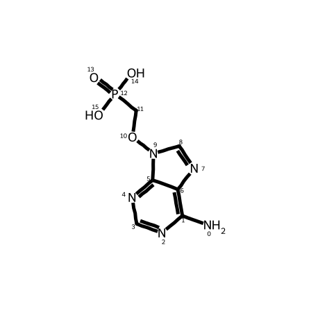 Nc1ncnc2c1ncn2OCP(=O)(O)O